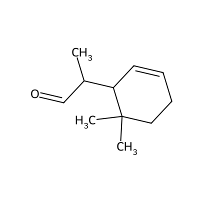 CC(C=O)C1C=CCCC1(C)C